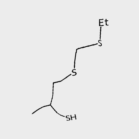 CCSCSCC(C)S